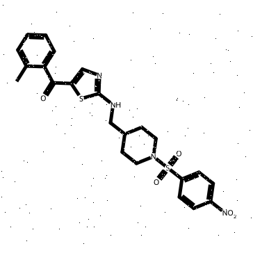 Cc1ccccc1C(=O)c1cnc(NCC2CCN(S(=O)(=O)c3ccc([N+](=O)[O-])cc3)CC2)s1